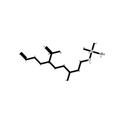 C=CCCC(CCC(C)CCO[Si](C)(C)C(C)(C)C)C(=C)C